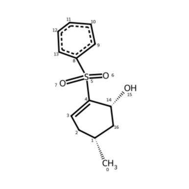 C[C@@H]1CC=C(S(=O)(=O)c2ccccc2)[C@H](O)C1